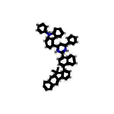 CC1(C)c2cc3ccccc3cc2-c2cccc(-c3ccc(-c4nc(-c5ccccc5)cc(-c5cccc6c5c5ccccc5n6-c5ccccc5)n4)c4ccccc34)c21